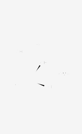 COCCO.OC[C@H]1O[CH][C@H](O)[C@@H]1O